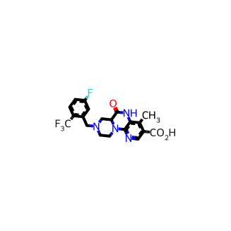 Cc1c(C(=O)O)cnc2c1NC(=O)C1CN(Cc3cc(F)ccc3C(F)(F)F)CCN21